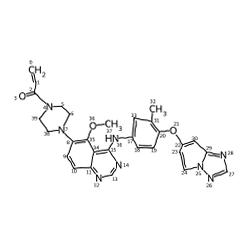 C=CC(=O)N1CCN(c2ccc3ncnc(Nc4ccc(Oc5ccn6ncnc6c5)c(C)c4)c3c2OC)CC1